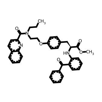 CCCN(CCOc1ccc(C[C@H](Nc2ccccc2C(=O)c2ccccc2)C(=O)OC)cc1)C(=O)c1ccc2ccccc2n1